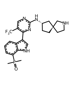 CP(C)(=O)c1cccc2c(-c3nc(N[C@H]4CC[C@@]5(CCNC5)C4)ncc3C(F)(F)F)c[nH]c12